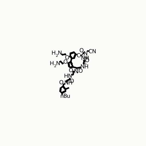 CCCCc1ccc(C(=O)NCC(=O)NCC(=O)N(C)[C@@H]2C(=O)N[C@@H](C)C(=O)N[C@H](C(=O)NCC#N)Cc3ccc(OCCN)c(c3)-c3cc2ccc3OCCN)c(C)c1